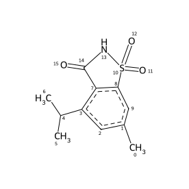 Cc1cc(C(C)C)c2c(c1)S(=O)(=O)NC2=O